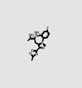 C/C(N)=C1\Cc2c(-c3nc(C)no3)ncn2-c2ccc(F)cc2N1N